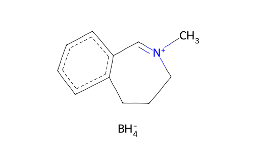 C[N+]1=Cc2ccccc2CCC1.[BH4-]